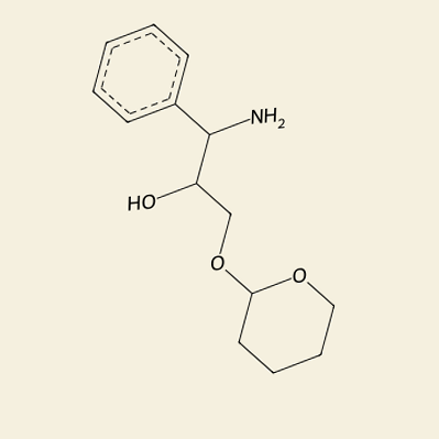 NC(c1ccccc1)C(O)COC1CCCCO1